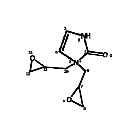 O=C1NC=C[N+]1(CC1CO1)CC1CO1